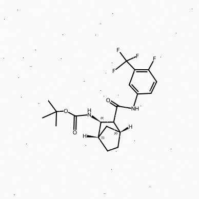 CC(C)(C)OC(=O)N[C@H]1C(C(=O)Nc2ccc(F)c(C(F)(F)F)c2)[C@@H]2CC[C@H]1C2